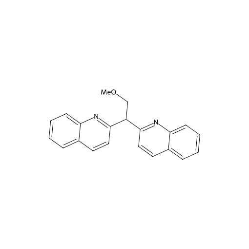 COCC(c1ccc2ccccc2n1)c1ccc2ccccc2n1